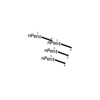 CCCCCC.CCCCCC.CCCCCC.CCCCCC